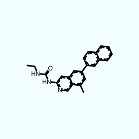 CCNC(=O)Nc1cc2cc(-c3ccc4ccccc4c3)cc(C)c2cn1